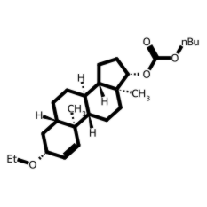 CCCCOC(=O)O[C@H]1CC[C@H]2[C@@H]3CC[C@H]4C[C@@H](OCC)C=C[C@]4(C)[C@H]3CC[C@]12C